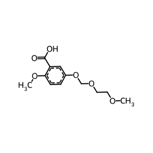 COCCOCOc1ccc(OC)c(C(=O)O)c1